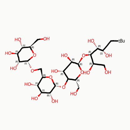 CC(C)(C)C[C@H](O)[C@@H](O)[C@H](O[C@H]1O[C@H](CO)C(O[C@H]2O[C@H](CO[C@H]3O[C@H](CO)[C@@H](O)[C@H](O)[C@H]3O)[C@@H](O)[C@H](O)[C@H]2O)[C@H](O)[C@H]1O)[C@H](O)CO